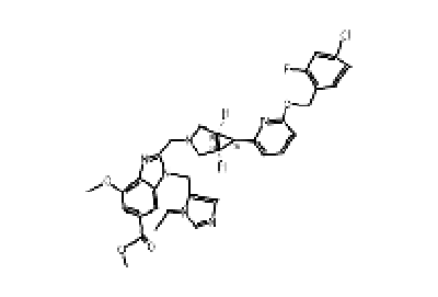 CCn1cncc1Cn1c(CN2C[C@@H]3[C@H](C2)[C@@H]3c2cccc(OCc3ccc(Cl)cc3F)n2)nc2c(OC)cc(C(=O)OC)cc21